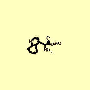 COC(=O)C(N)c1ccnc2ccccc12